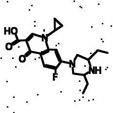 CCC1CN(c2cc3c(cc2F)c(=O)c(C(=O)O)cn3C2CC2)CC(CC)N1